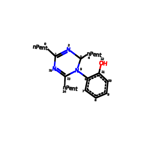 CCCCCC1=NC(CCCCC)N(c2ccccc2O)C(CCCCC)=N1